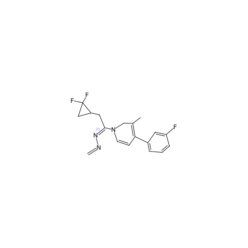 C=N/N=C(/CC1CC1(F)F)N1C=CC(c2cccc(F)c2)=C(C)C1